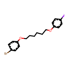 Brc1ccc(OCCCCCCOc2ccc(I)cc2)cc1